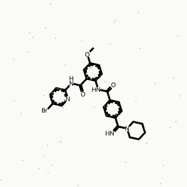 COc1ccc(NC(=O)c2ccc(C(=N)N3CCCCC3)cc2)c(C(=O)Nc2ccc(Br)cn2)c1